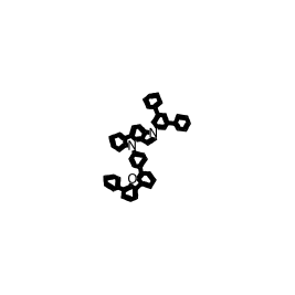 c1ccc(-c2cc(-c3ccccc3)cc(-n3ccc4c3ccc3c5ccccc5n(-c5ccc(-c6cccc7c6oc6c(-c8ccccc8)cccc67)cc5)c34)c2)cc1